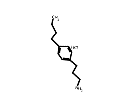 CCCCc1ccc(CCCN)cc1.Cl